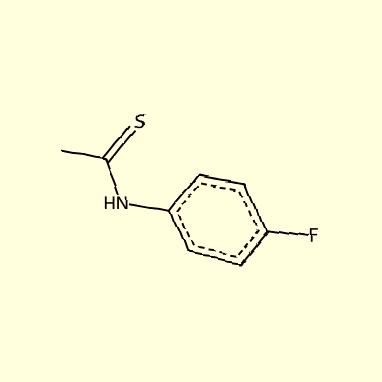 CC(=S)Nc1ccc(F)cc1